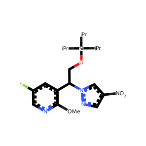 COc1ncc(F)cc1C(CO[Si](C(C)C)(C(C)C)C(C)C)n1cc([N+](=O)[O-])cn1